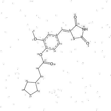 COc1cc(/C=C2\SC(=O)NC2=O)ccc1OC(=O)CCC1CCCC1